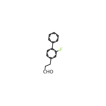 O=CCCc1ccc(-c2ccccc2)c(F)c1